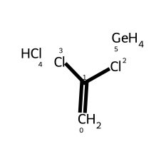 C=C(Cl)Cl.Cl.[GeH4]